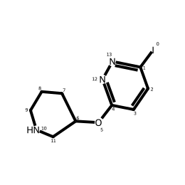 Ic1ccc(OC2CCCNC2)nn1